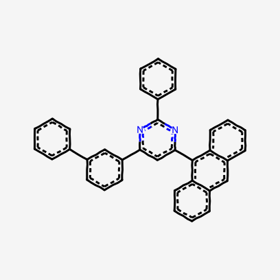 c1ccc(-c2cccc(-c3cc(-c4c5ccccc5cc5ccccc45)nc(-c4ccccc4)n3)c2)cc1